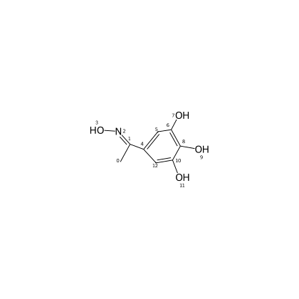 C/C(=N\O)c1cc(O)c(O)c(O)c1